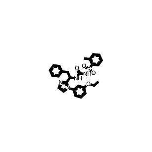 CCOc1cccc(-n2ccnc2C(Cc2ccccc2)NC(=O)NS(=O)(=O)c2ccccc2C)c1